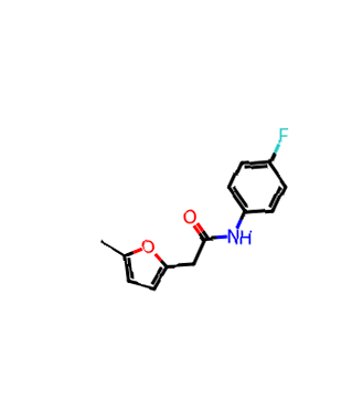 Cc1ccc(CC(=O)Nc2ccc(F)cc2)o1